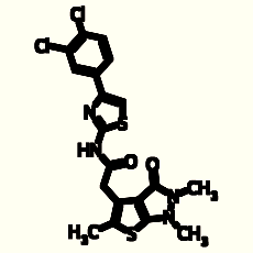 Cc1sc2c(c1CC(=O)Nc1nc(-c3ccc(Cl)c(Cl)c3)cs1)c(=O)n(C)n2C